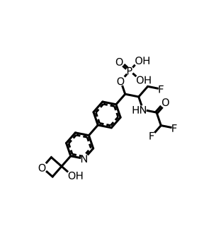 O=C(NC(CF)C(OP(=O)(O)O)c1ccc(-c2ccc(C3(O)COC3)nc2)cc1)C(F)F